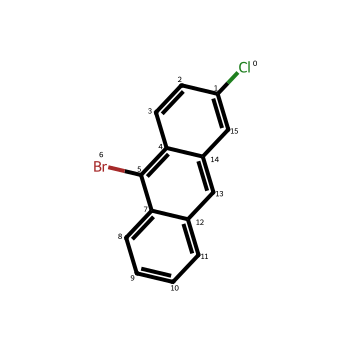 Clc1ccc2c(Br)c3ccccc3cc2c1